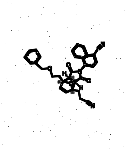 N#CCC[C@@]12C=C[C@@](CCOCc3ccccc3)(O1)[C@H]1C(=O)N(c3ccc(C#N)c4ccccc34)C(=O)[C@H]12